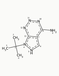 CC(C)(C)[n+]1[nH]cc2c(N)nnnc21